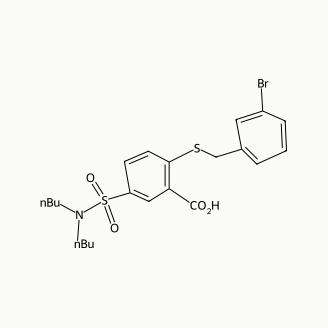 CCCCN(CCCC)S(=O)(=O)c1ccc(SCc2cccc(Br)c2)c(C(=O)O)c1